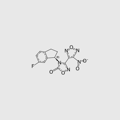 O=c1onc(-c2nonc2[N+](=O)[O-])n1[C@@H]1CCc2ccc(F)cc21